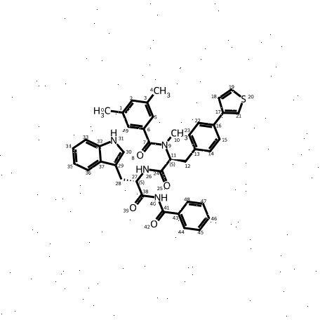 Cc1cc(C)cc(C(=O)N(C)[C@@H](Cc2ccc(-c3ccsc3)cc2)C(=O)N[C@@H](Cc2c[nH]c3ccccc23)C(=O)NC(=O)c2ccccc2)c1